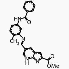 COC(=O)c1cc2cc(C=Nc3cc(NC(=O)c4ccccc4)ccc3C)c[nH]c-2n1